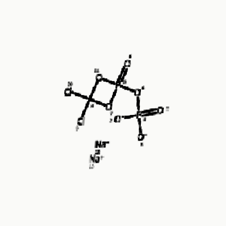 O=P([O-])([O-])OP1(=O)OC(Cl)(Cl)O1.[Na+].[Na+]